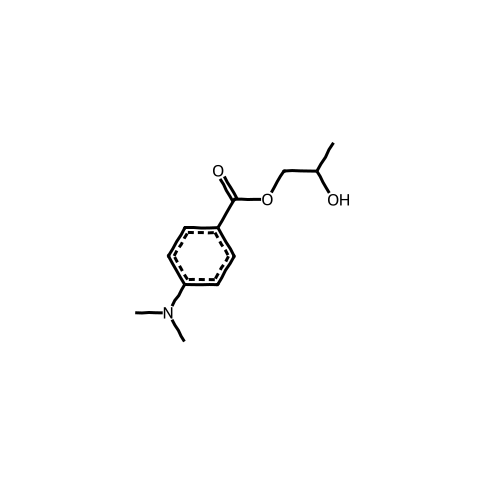 CC(O)COC(=O)c1ccc(N(C)C)cc1